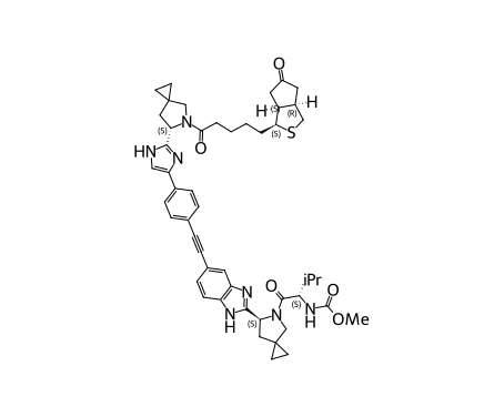 COC(=O)N[C@H](C(=O)N1CC2(CC2)C[C@H]1c1nc2cc(C#Cc3ccc(-c4c[nH]c([C@@H]5CC6(CC6)CN5C(=O)CCCC[C@@H]5SC[C@@H]6CC(=O)C[C@@H]65)n4)cc3)ccc2[nH]1)C(C)C